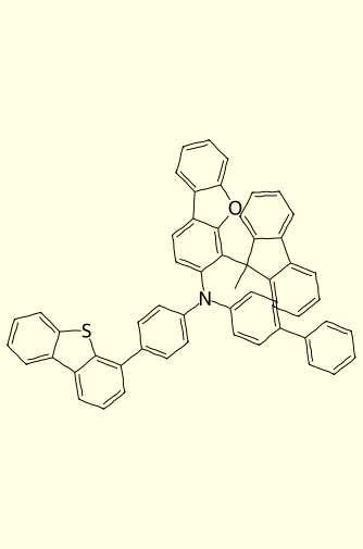 CC1(c2c(N(c3ccc(-c4ccccc4)cc3)c3ccc(-c4cccc5c4sc4ccccc45)cc3)ccc3c2oc2ccccc23)c2ccccc2-c2ccccc21